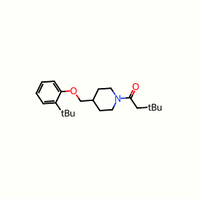 CC(C)(C)CC(=O)N1CCC(COc2ccccc2C(C)(C)C)CC1